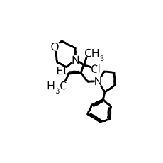 CCC(C)=C(CN1CCCC1c1ccccc1)C(C)(Cl)N1CCOCC1